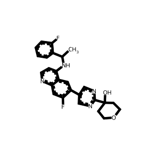 CC(Nc1ccnc2cc(F)c(-c3cnc(C4(O)CCOCC4)nc3)cc12)c1ccccc1F